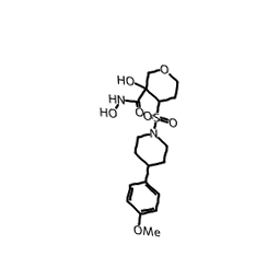 COc1ccc(C2CCN(S(=O)(=O)C3CCOCC3(O)C(=O)NO)CC2)cc1